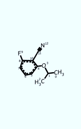 CC(C)Oc1cccc(F)c1C#N